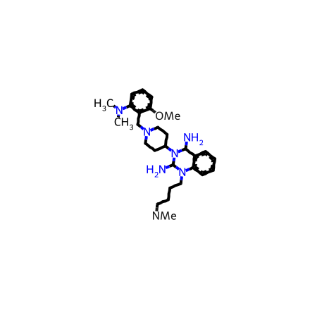 CNCCCCN1c2ccccc2C(N)N(C2CCN(Cc3c(OC)cccc3N(C)C)CC2)C1N